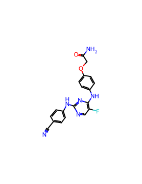 N#Cc1ccc(Nc2ncc(F)c(Nc3ccc(OCC(N)=O)cc3)n2)cc1